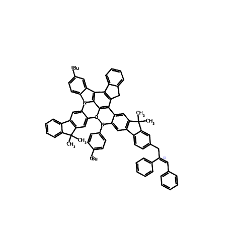 CC(C)(C)c1ccc(N2B3c4cc5c(cc4-n4c6ccc(C(C)(C)C)cc6c6c7c(c(c3c64)-c3cc4c(cc32)-c2ccc(C/C(=C/c3ccccc3)c3ccccc3)cc2C4(C)C)Cc2ccccc2-7)-c2ccccc2C5(C)C)cc1